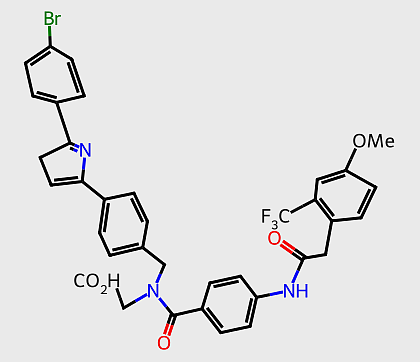 COc1ccc(CC(=O)Nc2ccc(C(=O)N(CC(=O)O)Cc3ccc(C4=CCC(c5ccc(Br)cc5)=N4)cc3)cc2)c(C(F)(F)F)c1